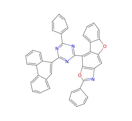 c1ccc(-c2nc(-c3cc4ccccc4c4ccccc34)nc(-c3c4oc(-c5ccccc5)nc4cc4oc5ccccc5c34)n2)cc1